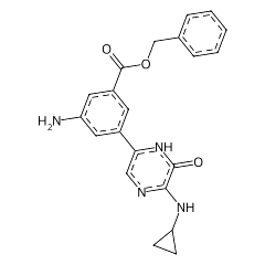 Nc1cc(C(=O)OCc2ccccc2)cc(-c2cnc(NC3CC3)c(=O)[nH]2)c1